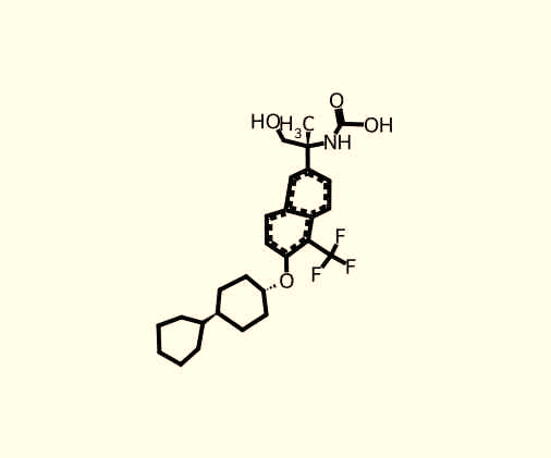 C[C@@](CO)(NC(=O)O)c1ccc2c(C(F)(F)F)c(O[C@H]3CC[C@H](C4CCCCC4)CC3)ccc2c1